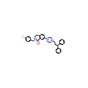 O=C1c2cc(N3CCN(CCC(c4ccccc4)c4ccccc4)CC3)ccc2CCN1Cc1ccc(F)cc1